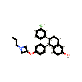 CCCN1CC(Oc2ccc([C@@H]3c4ccc(O)cc4CC[C@@H]3c3ccccc3)cc2)C1.Cl